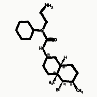 CC[C@H]1[C@H](C)CC[C@@H]2C[C@H](NC(=O)N(CCN)C3CCCCC3)CC[C@@]21C